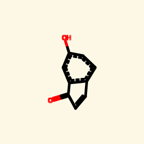 O=C1C=Cc2ccc(O)cc21